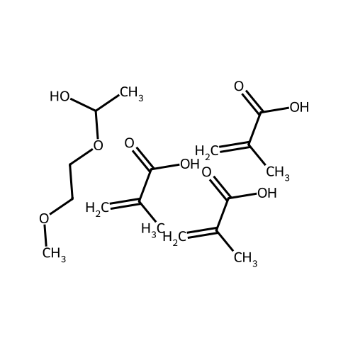 C=C(C)C(=O)O.C=C(C)C(=O)O.C=C(C)C(=O)O.COCCOC(C)O